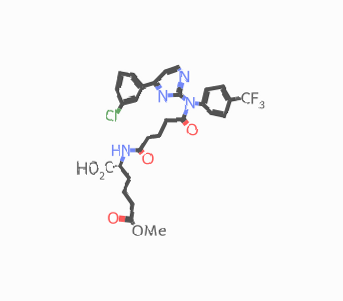 COC(=O)CCC[C@@H](NC(=O)CCCC(=O)N(c1ccc(C(F)(F)F)cc1)c1nccc(-c2cccc(Cl)c2)n1)C(=O)O